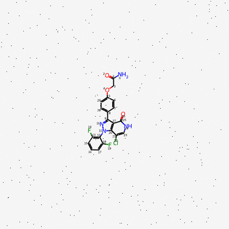 NC(=O)COc1ccc(-c2nn(-c3c(F)cccc3F)c3c(Cl)c[nH]c(=O)c23)cc1